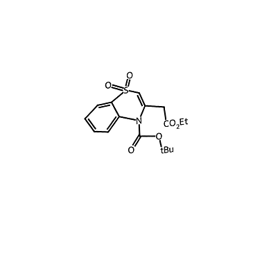 CCOC(=O)CC1=CS(=O)(=O)c2ccccc2N1C(=O)OC(C)(C)C